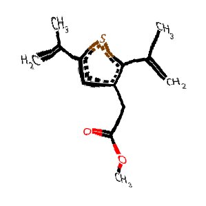 C=C(C)c1cc(CC(=O)OC)c(C(=C)C)s1